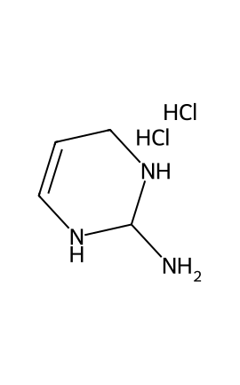 Cl.Cl.NC1NC=CCN1